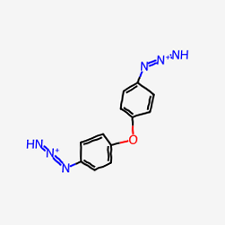 N=[N+]=Nc1ccc(Oc2ccc(N=[N+]=N)cc2)cc1